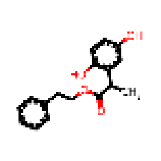 CC(C(=O)OCCc1ccccc1)c1cc(O)ccc1O